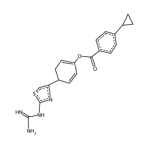 N=C(N)Nc1nc(C2C=CC(OC(=O)c3ccc(C4CC4)cc3)=CC2)cs1